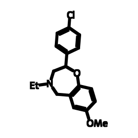 CCN1Cc2cc(OC)ccc2OC(c2ccc(Cl)cc2)C1